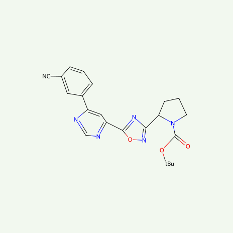 CC(C)(C)OC(=O)N1CCCC1c1noc(-c2cc(-c3cccc(C#N)c3)ncn2)n1